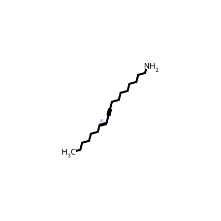 CCCCCC/C=C/C#CCCCCCCCCN